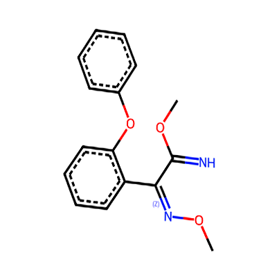 CO/N=C(\C(=N)OC)c1ccccc1Oc1ccccc1